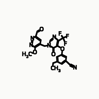 CCc1cc(C#N)cc(Oc2c(C(F)(F)F)ncn(Cc3cc(C=O)nnc3OC)c2=O)c1